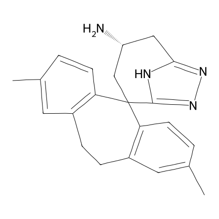 Cc1ccc2c(c1)CCc1cc(C)ccc1C21C[C@H](N)Cc2nnc1[nH]2